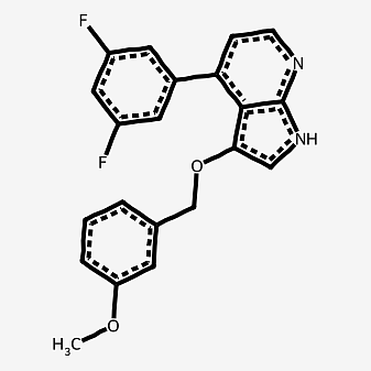 COc1cccc(COc2c[nH]c3nccc(-c4cc(F)cc(F)c4)c23)c1